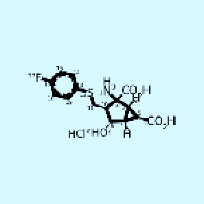 Cl.N[C@]1(C(=O)O)[C@@H]2[C@@H](C(=O)O)[C@@H]2[C@H](O)[C@H]1CSc1ccc(F)cc1